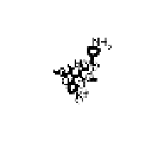 CCOC(=O)C1=C(C)NC(C(NC(=O)c2ccc(N)cc2)SC)=C(C(=O)OCC)C1c1cccc([N+](=O)[O-])c1